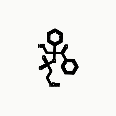 CCCCCCCCCCCCS(=O)(=O)OC(CO)(C(=O)c1ccccc1)c1ccccc1